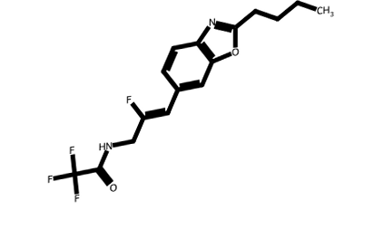 CCCCc1nc2ccc(C=C(F)CNC(=O)C(F)(F)F)cc2o1